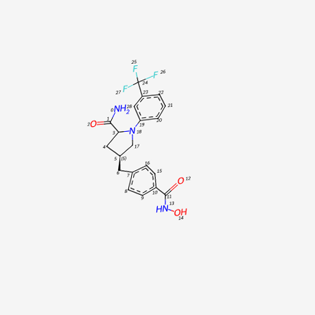 NC(=O)C1C[C@H](Cc2ccc(C(=O)NO)cc2)CN1c1cccc(C(F)(F)F)c1